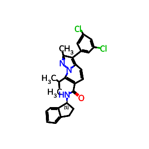 Cc1nn2c(C(C)C)c(C(=O)N[C@H]3CCc4ccccc43)ccc2c1-c1cc(Cl)cc(Cl)c1